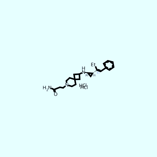 CC/C(=C\c1ccccc1)[C@@H]1C[C@H]1NC1CC2(CCN(CCC(N)=O)CC2)C1.Cl.Cl